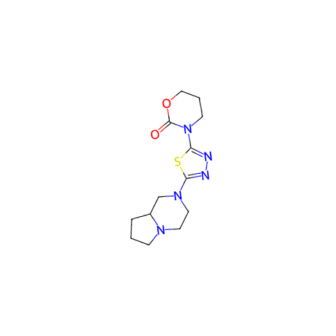 O=C1OCCCN1c1nnc(N2CCN3CCCC3C2)s1